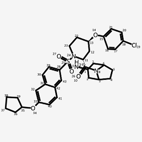 NC1CC2CCC(C1)N2C(=O)[C@H]1C[C@H](Oc2ccc(Cl)cc2)CCN1S(=O)(=O)c1ccc2cc(OC3CCCC3)ccc2c1